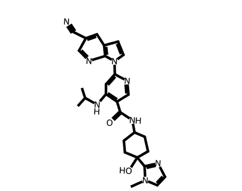 CC(C)Nc1cc(-n2ccc3cc(C#N)cnc32)ncc1C(=O)NC1CCC(O)(c2nccn2C)CC1